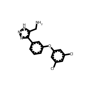 NCc1[nH]nnc1-c1cccc(Oc2cc(Cl)cc(Cl)c2)c1